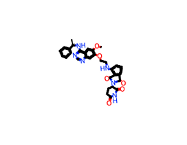 COc1cc2c(N[C@H](C)c3ccccc3)ncnc2cc1OCCNc1cccc2c1C(=O)N(C1CCC(=O)NC1=O)C2=O